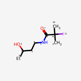 CCC(O)CCNC(=O)C(C)(C)I